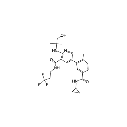 Cc1ccc(C(=O)NC2CC2)cc1-c1cnc(NC(C)(C)CO)c(C(=O)NCCC(F)(F)F)c1